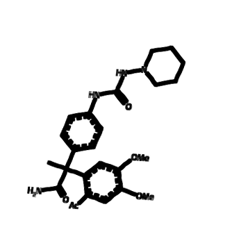 COc1cc(C(C)=O)c(C(C)(C(N)=O)c2ccc(NC(=O)NN3CCCCC3)cc2)cc1OC